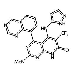 CNc1nc(-c2cccc3cncnc23)c2c(Nc3ccn[nH]3)c(C(F)(F)F)c(=O)[nH]c2n1